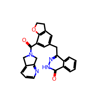 O=C(c1cc(Cc2n[nH]c(=O)c3ccccc23)cc2c1OCC2)N1Cc2cccnc2C1